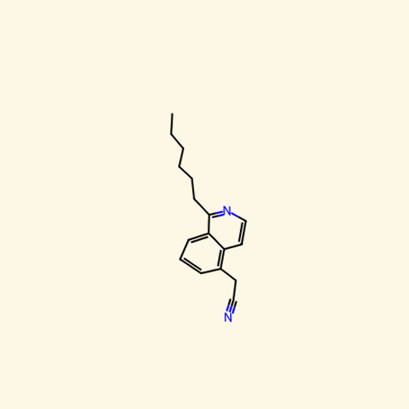 CCCCCCc1nccc2c(CC#N)cccc12